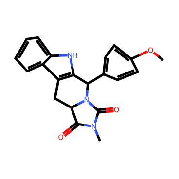 COc1ccc(C2c3[nH]c4ccccc4c3CC3C(=O)N(C)C(=O)N32)cc1